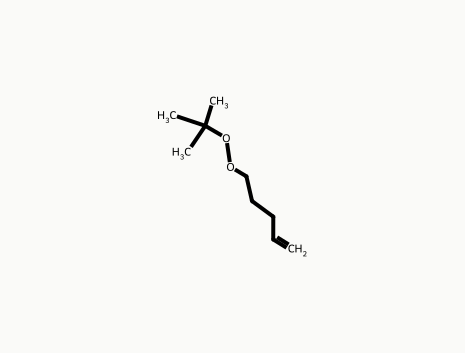 C=CCCCOOC(C)(C)C